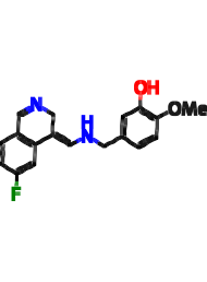 COc1ccc(CNC=C2CN=Cc3ccc(F)cc32)cc1O